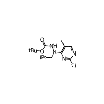 Cc1cnc(Cl)nc1N(CC(C)C)NC(=O)OC(C)(C)C